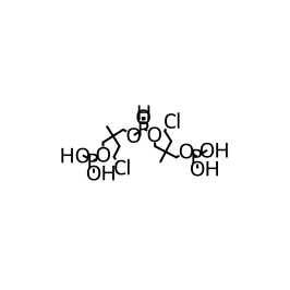 CC(CCCl)(COP(O)O)CO[PH](=O)OCC(C)(CCCl)COP(O)O